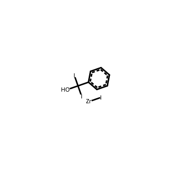 OC(I)(I)c1ccccc1.[Zr][I]